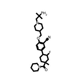 CC(C)(P)CN1CCC(COc2ccc(C3CCC(C)(C(=O)N4CCCCC4)CC3F)cc2C#N)CC1